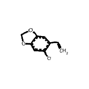 C=Cc1cc2c(cc1Cl)OCO2